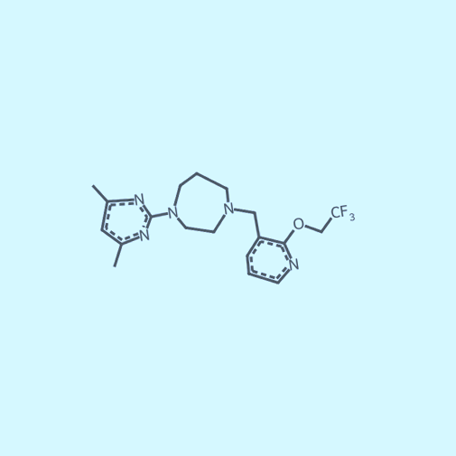 Cc1cc(C)nc(N2CCCN(Cc3cccnc3OCC(F)(F)F)CC2)n1